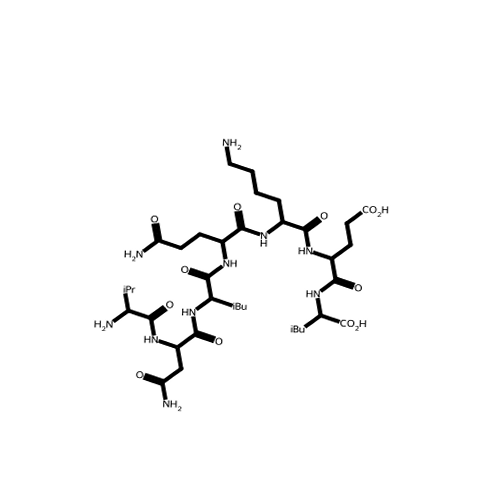 CCC(C)C(NC(=O)C(CCC(=O)O)NC(=O)C(CCCCN)NC(=O)C(CCC(N)=O)NC(=O)C(NC(=O)C(CC(N)=O)NC(=O)C(N)C(C)C)C(C)CC)C(=O)O